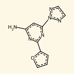 Nc1cc(-n2nccn2)nc(-c2ccco2)n1